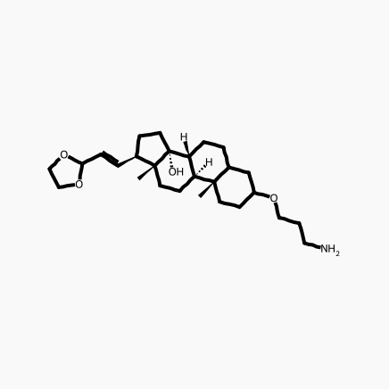 C[C@]12CCC(OCCCN)CC1CC[C@@H]1[C@@H]2CC[C@]2(C)[C@@H](/C=C/C3OCCO3)CC[C@@]12O